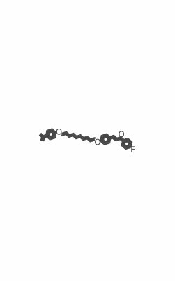 C=C(C)c1ccc(OCCCCCCCCCCOc2ccc(/C=C/C(=O)c3ccc(F)cc3)cc2)cc1